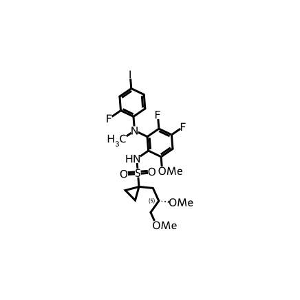 COC[C@H](CC1(S(=O)(=O)Nc2c(OC)cc(F)c(F)c2N(C)c2ccc(I)cc2F)CC1)OC